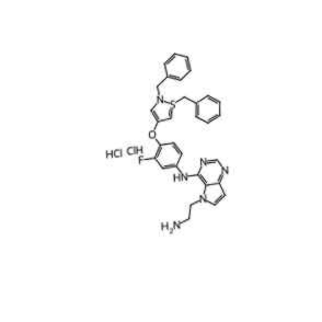 Cl.Cl.NCCn1ccc2ncnc(Nc3ccc(OC4=CN(Cc5ccccc5)S(Cc5ccccc5)=C4)c(F)c3)c21